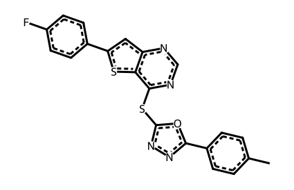 Cc1ccc(-c2nnc(Sc3ncnc4cc(-c5ccc(F)cc5)sc34)o2)cc1